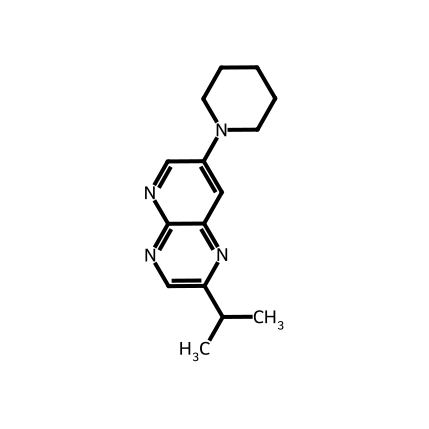 CC(C)c1cnc2ncc(N3CCCCC3)cc2n1